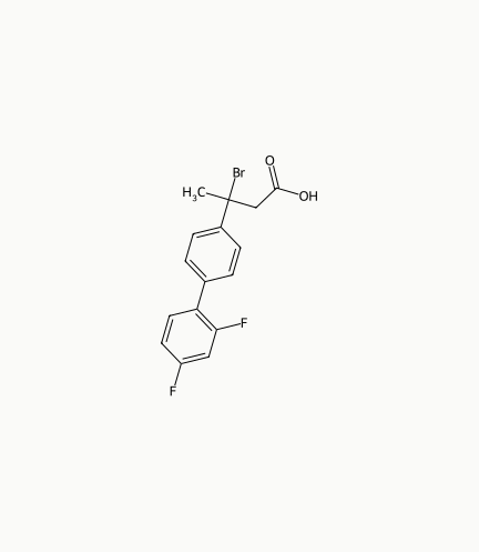 CC(Br)(CC(=O)O)c1ccc(-c2ccc(F)cc2F)cc1